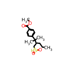 CCCC(C[SH](=O)=O)C(C)(C)c1ccc(C(=O)OC)cc1